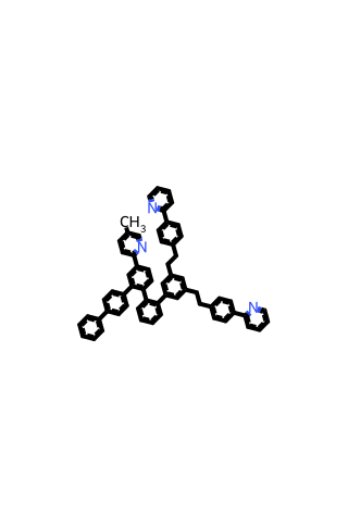 Cc1ccc(-c2ccc(-c3ccccc3-c3cc(CCc4ccc(-c5ccccn5)cc4)cc(CCc4ccc(-c5ccccn5)cc4)c3)c(-c3ccc(-c4ccccc4)cc3)c2)nc1